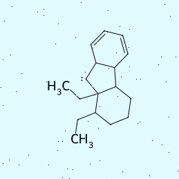 CCC1CCCC2C3C=CC=CC3[C]C12CC